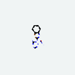 NC(=O)[N+]1(c2nc3ccccc3s2)N=[C]N=C1N